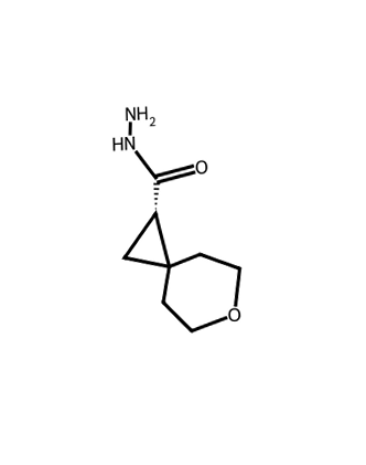 NNC(=O)[C@H]1CC12CCOCC2